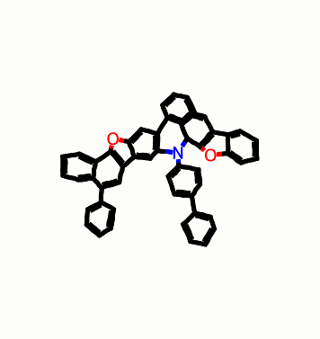 C1=Cc2c(oc3ccccc23)C(N(c2ccc(-c3ccccc3)cc2)c2cc3c(cc2-c2ccccc2)oc2c4ccccc4c(-c4ccccc4)cc32)C1